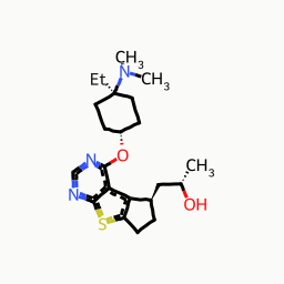 CC[C@]1(N(C)C)CC[C@H](Oc2ncnc3sc4c(c23)[C@@H](C[C@H](C)O)CC4)CC1